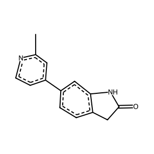 Cc1cc(-c2ccc3c(c2)NC(=O)C3)ccn1